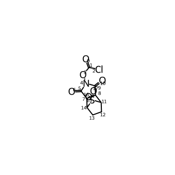 O=C(Cl)ON1C(=O)C2C(C1=O)C1CCC2S1(=O)=O